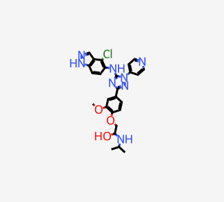 COc1cc(-c2nc(Nc3ccc4[nH]ncc4c3Cl)n(-c3ccncc3)n2)ccc1OCC(O)NC(C)C